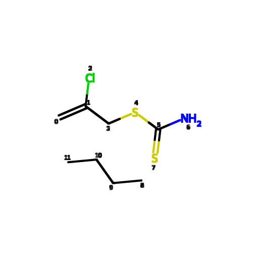 C=C(Cl)CSC(N)=S.CCCC